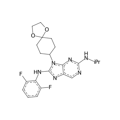 CC(C)Nc1ncc2nc(Nc3c(F)cccc3F)n(C3CCC4(CC3)OCCO4)c2n1